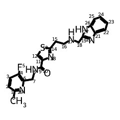 Cc1ccc(F)c(CNC(=O)c2csc(CCNCc3nc4ccccc4[nH]3)n2)n1